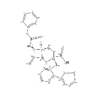 O=C(Cc1ccccc1)N[C@@H]1C(=O)N2CC(Sc3ccccc3-c3ccccc3)(C(=O)O)CS[C@H]12